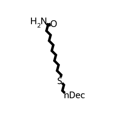 CCCCCCCCCCCCSCCCCCCCCCCC(N)=O